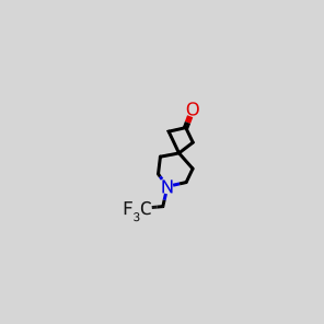 O=C1CC2(CCN(CC(F)(F)F)CC2)C1